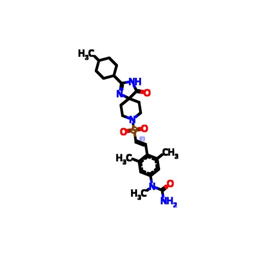 Cc1cc(N(C)C(N)=O)cc(C)c1/C=C/S(=O)(=O)N1CCC2(CC1)N=C(C1CCC(C)CC1)NC2=O